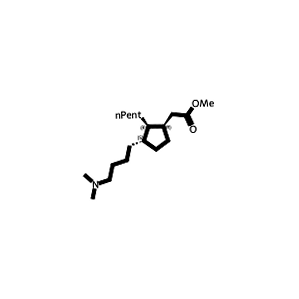 CCCCC[C@@H]1[C@@H](CCCCN(C)C)CC[C@@H]1CC(=O)OC